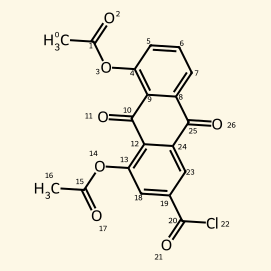 CC(=O)Oc1cccc2c1C(=O)c1c(OC(C)=O)cc(C(=O)Cl)cc1C2=O